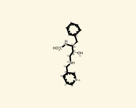 O=C(O)N[C@@H](Cc1ccccc1)[C@H](O)CNCc1cccnc1